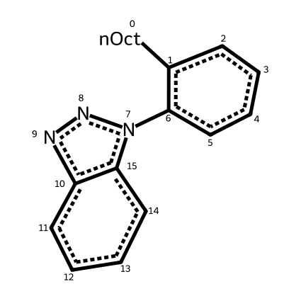 CCCCCCCCc1ccccc1-n1nnc2ccccc21